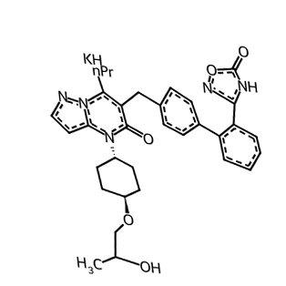 CCCc1c(Cc2ccc(-c3ccccc3-c3noc(=O)[nH]3)cc2)c(=O)n([C@H]2CC[C@H](OCC(C)O)CC2)c2ccnn12.[KH]